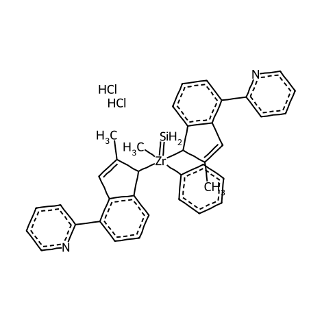 CC1=Cc2c(-c3ccccn3)cccc2[CH]1[Zr]([CH3])(=[SiH2])([c]1ccccc1)[CH]1C(C)=Cc2c(-c3ccccn3)cccc21.Cl.Cl